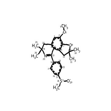 COc1cc2c(c3c1OC(C)(C)C3)C(c1ccc([S+](C)[O-])cc1)=NC(C)(C)C2